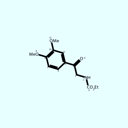 CCOC(=O)NCC(=O)c1ccc(OC)c(OC)c1